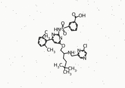 Cc1cccc(C)c1-c1cc(OCC(CCC(C)(C)C)NCc2cncc(Cl)n2)nc(NS(=O)(=O)c2cccc(C(=O)O)c2)n1